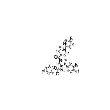 CN(C(=O)Oc1ccc(F)cc1)[C@@H]1CN(C(=O)C2CCN(c3ccc(F)cn3)CC2)C[C@H]1c1ccc(Cl)c(F)c1